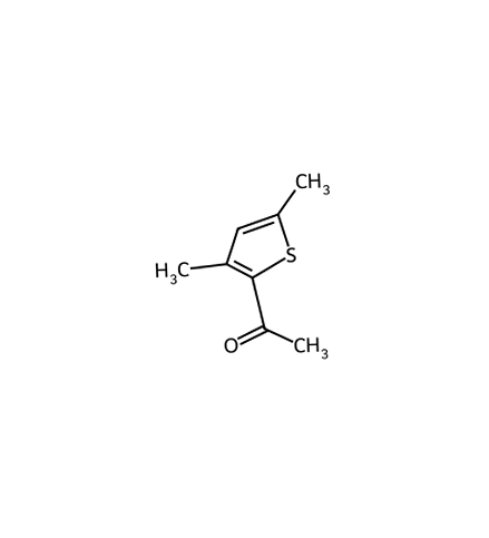 CC(=O)c1sc(C)cc1C